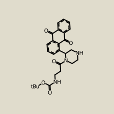 CC(C)(C)OC(=O)NCCC(=O)N1CCNCC1c1cccc2c1C(=O)c1ccccc1C2=O